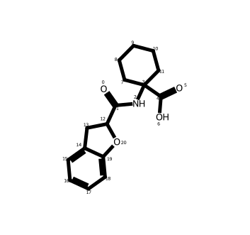 O=C(NC1(C(=O)O)CCCCC1)C1Cc2ccccc2O1